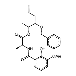 C=CCC(OCc1ccccc1)C(C)OC(=O)[C@H](C)NC(=O)c1nccc(OC)c1O